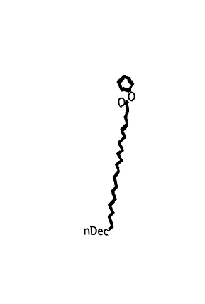 CCCCCCCCCCCCCCCCCCCCCCCCCC=CCCC(=O)Oc1ccccc1